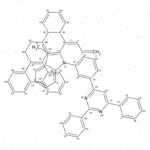 C=C/C=C(\c1c(C)c2ccccc2n1-c1cccc(-c2cc(-c3ccccc3)nc(-c3ccccc3)n2)c1)C1C=CC=CC1C1=Cc2c(c3ccccc3c3ccccc23)CC1